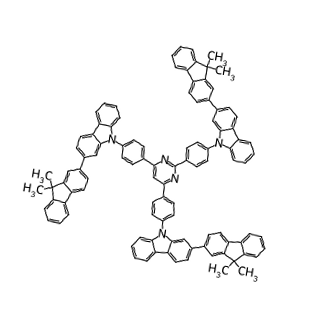 CC1(C)c2ccccc2-c2ccc(-c3ccc4c5ccccc5n(-c5ccc(-c6cc(-c7ccc(-n8c9ccccc9c9ccc(-c%10ccc%11c(c%10)C(C)(C)c%10ccccc%10-%11)cc98)cc7)nc(-c7ccc(-n8c9ccccc9c9ccc(-c%10ccc%11c(c%10)C(C)(C)c%10ccccc%10-%11)cc98)cc7)n6)cc5)c4c3)cc21